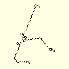 CCCC/C=C\C/C=C\CCCCCCCC(=O)OC[C@H](COC(=O)CCCCCCCCCCCCCCCCCC)OC(=O)CCCCCCC/C=C\CCCCCCCC